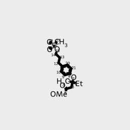 CCC(C)(CC(=O)OC)Oc1ccc(CCCOS(C)(=O)=O)cc1